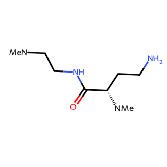 CNCCNC(=O)[C@H](CCN)NC